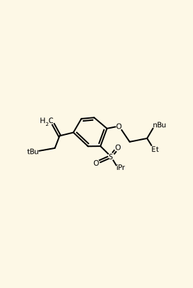 C=C(CC(C)(C)C)c1ccc(OCC(CC)CCCC)c(S(=O)(=O)C(C)C)c1